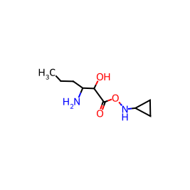 CCCC(N)C(O)C(=O)ONC1CC1